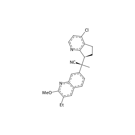 CCc1cc2ccc([C@](C)(C#N)[C@@H]3CCc4c(Cl)ccnc43)cc2nc1OC